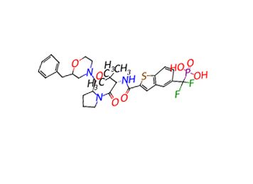 CC(C)(C)[C@H](NC(=O)c1cc2cc(C(F)(F)P(=O)(O)O)ccc2s1)C(=O)N1CCC[C@H]1C(=O)N1CCOC(Cc2ccccc2)C1